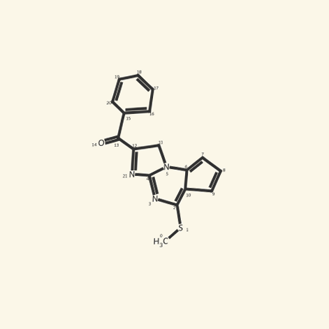 CSc1nc2n(c3cccc1-3)CC(C(=O)c1ccccc1)=N2